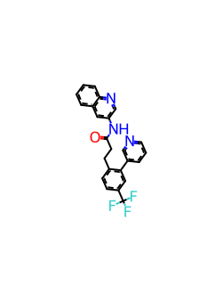 O=C(CCc1ccc(C(F)(F)F)cc1-c1cccnc1)Nc1cnc2ccccc2c1